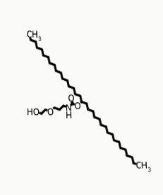 CCCCCCCCCCCCCCCCCC(CCCCCCCCCCCCCCCCC)OC(=O)NCCCOCCO